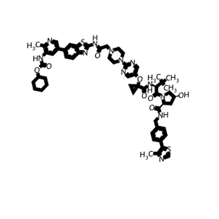 Cc1ncc(-c2ccc3nc(NC(=O)CN4CCN(c5ncc(OC6(C(=O)N[C@H](C(=O)N7C[C@H](O)C[C@H]7C(=O)NCc7ccc(-c8scnc8C)cc7)C(C)(C)C)CC6)cn5)CC4)sc3c2)cc1NC(=O)OC1CCCCC1